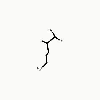 BCCCC(C)C(CC)CCC